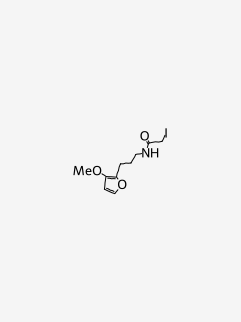 COc1ccoc1CCCNC(=O)CI